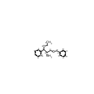 CCOC(c1ccccn1)[C@@H](N)COCc1ccccc1